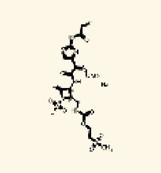 CON=C(C(=O)N[C@@H]1C(=O)N(S(=O)(=O)[O-])[C@@H]1CNC(=O)OCCS(C)(=O)=O)c1csc(NC(=O)CCl)n1.[Na+]